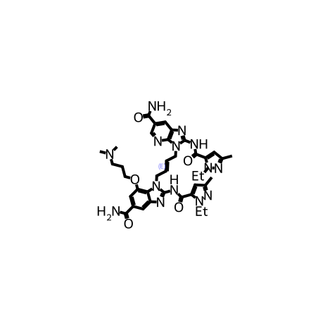 CCn1nc(C)cc1C(=O)Nc1nc2cc(C(N)=O)cnc2n1C/C=C/Cn1c(NC(=O)c2cc(C)nn2CC)nc2cc(C(N)=O)cc(OCCCN(C)C)c21